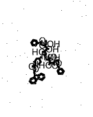 O=C(OCC1c2ccccc2-c2ccccc21)N1CCC(CN(CC(O)C(O)C2OC(c3ccccc3)OCC2O)CC(O)C(O)C2OC(c3ccccc3)OCC2O)CC1